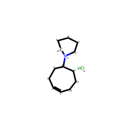 C1=C\CCC(N2CCCCC2)CCC/1.Cl